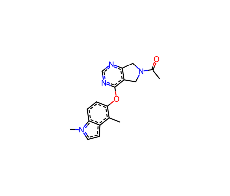 CC(=O)N1Cc2ncnc(Oc3ccc4c(ccn4C)c3C)c2C1